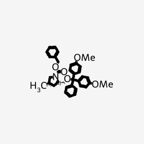 COc1ccc(C(OC[C@@H]2C[C@@H](C)CN2C(=O)OCc2ccccc2)(c2ccccc2)c2ccc(OC)cc2)cc1